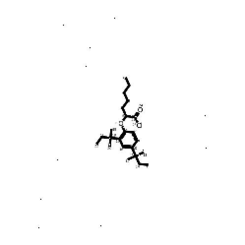 CCCCCC(Oc1ccc(C(C)(C)CC)cc1C(C)(C)CC)C(=O)Cl